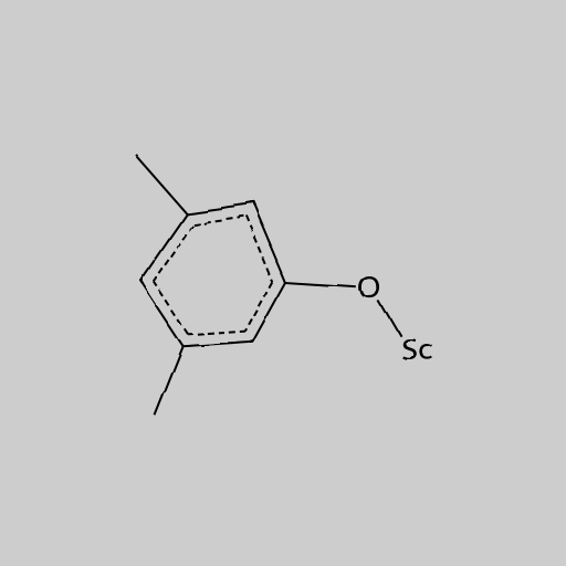 Cc1cc(C)cc([O][Sc])c1